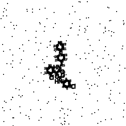 O=C(Nc1ccc(Cl)cc1)OC(C(=O)NCC1CCN(c2ccncc2)CC1)c1ccccc1Cl